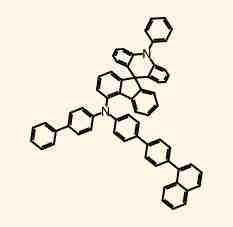 c1ccc(-c2ccc(N(c3ccc(-c4ccc(-c5cccc6ccccc56)cc4)cc3)c3cccc4c3-c3ccccc3C43c4ccccc4N(c4ccccc4)c4ccccc43)cc2)cc1